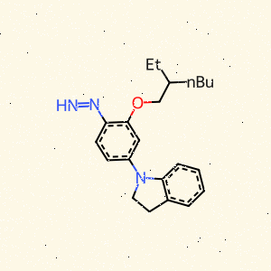 CCCCC(CC)COc1cc(N2CCc3ccccc32)ccc1N=N